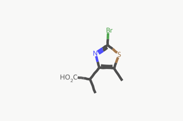 Cc1sc(Br)nc1C(C)C(=O)O